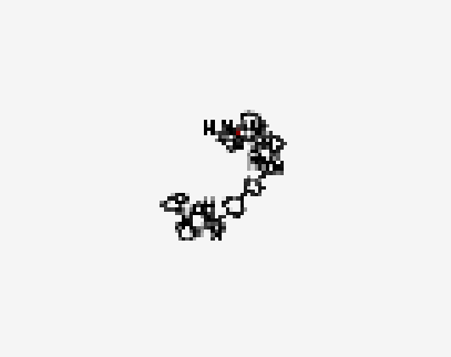 C[N+]1([C@@H](C(=O)N2CCC[C@H]2c2ncc(-c3ccc(-c4ccc(-c5cnc([C@@H]6CCCN6C(=O)[C@@H]6CCCO6)[nH]5)cc4)cc3)[nH]2)c2ccccc2)CCC[C@H]1C(N)=O